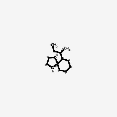 CCC(C)C1CCCCC12OCCO2